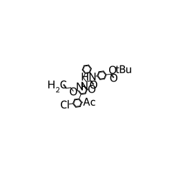 C=CCOc1nn(C(Cc2ccccc2)C(=O)Nc2ccc(C(=O)OC(C)(C)C)cc2)c(=O)cc1-c1cc(Cl)ccc1C(C)=O